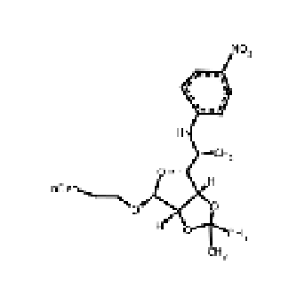 CCCCCCCCCCCCO[C@H]1O[C@H]([C@H](C)Nc2ccc([N+](=O)[O-])cc2)[C@@H]2OC(C)(C)O[C@H]12